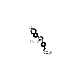 CCN1CCc2ccc(N3CCN(c4ccc(CCC(=O)O)cc4)C3=O)cc2CC1.Cl